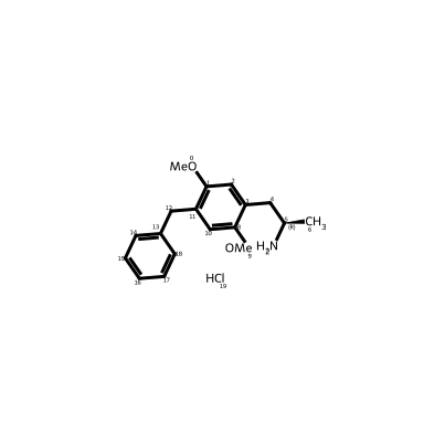 COc1cc(C[C@@H](C)N)c(OC)cc1Cc1ccccc1.Cl